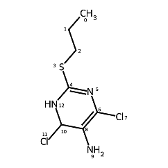 CCCSC1=NC(Cl)=C(N)C(Cl)N1